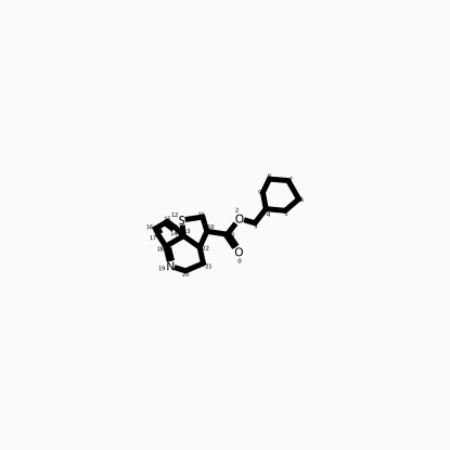 O=C(OCC1CCCCC1)C1CSC23C=CC=CC2=NCCC13